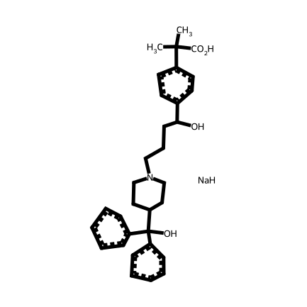 CC(C)(C(=O)O)c1ccc(C(O)CCCN2CCC(C(O)(c3ccccc3)c3ccccc3)CC2)cc1.[NaH]